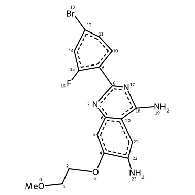 COCCOc1cc2nc(-c3ccc(Br)cc3F)nc(N)c2cc1N